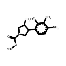 CCOC(=O)C1CN(C(=O)OC(C)(C)C)CC1c1ccc(N)c(N)c1F